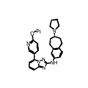 CC(C)Oc1ccc(-c2cccc3nc(Nc4ccc5c(c4)CC[C@@H](N4CCCC4)CC5)nn23)cn1